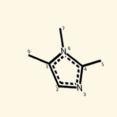 Cc1[c]nc(C)n1C